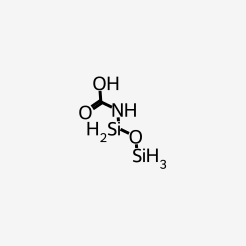 O=C(O)N[SiH2]O[SiH3]